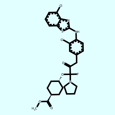 COC(=O)[C@H]1CC[C@H](OC(F)(C(=O)Cc2ccc(Nc3nc4c(Cl)cccc4s3)c(Cl)c2)N2CCCC2)CC1